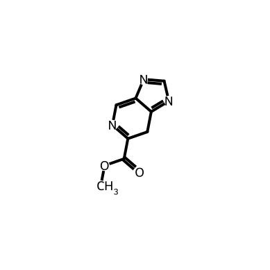 COC(=O)C1=NC=C2N=CN=C2C1